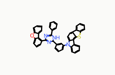 c1ccc(C2=NC(c3cccc4oc5ccccc5c34)=NC(c3cccc(-n4c5ccccc5c5c6sc7ccccc7c6ccc54)c3)N2)cc1